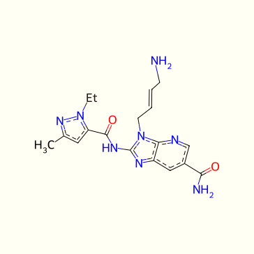 CCn1nc(C)cc1C(=O)Nc1nc2cc(C(N)=O)cnc2n1C/C=C/CN